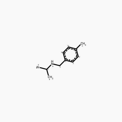 Cc1ccc(CNC(C)C(C)C)cc1